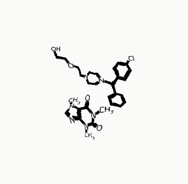 Cn1c(=O)c2c(ncn2C)n(C)c1=O.OCCOCCN1CCN(C(c2ccccc2)c2ccc(Cl)cc2)CC1